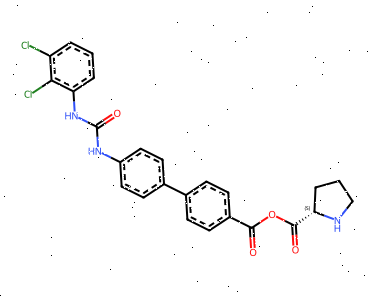 O=C(Nc1ccc(-c2ccc(C(=O)OC(=O)[C@@H]3CCCN3)cc2)cc1)Nc1cccc(Cl)c1Cl